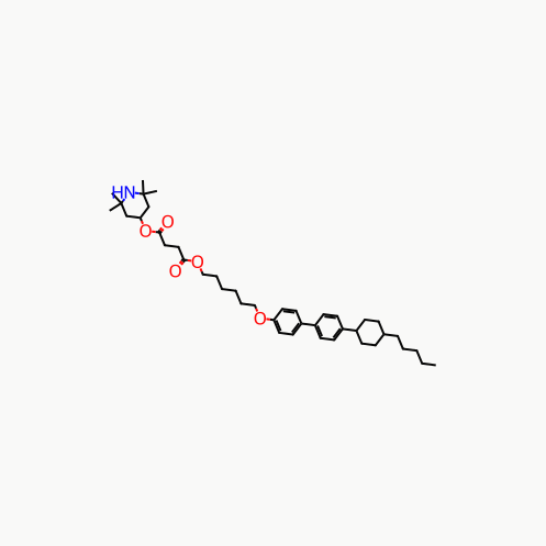 CCCCCC1CCC(c2ccc(-c3ccc(OCCCCCCOC(=O)CCC(=O)OC4CC(C)(C)NC(C)(C)C4)cc3)cc2)CC1